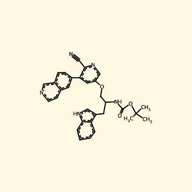 CC(C)(C)OC(=O)NC(COc1cnc(C#N)c(-c2ccc3cnccc3c2)c1)Cc1c[nH]c2ccccc12